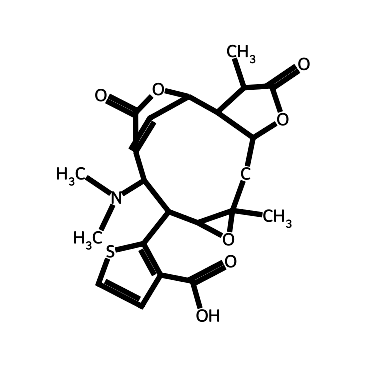 CC1C(=O)OC2CC3(C)OC3C(c3sccc3C(=O)O)C(N(C)C)C3=CC(OC3=O)C21